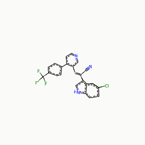 N#CC(=Cc1cnccc1-c1ccc(C(F)(F)F)cc1)c1c[nH]c2ccc(Cl)cc12